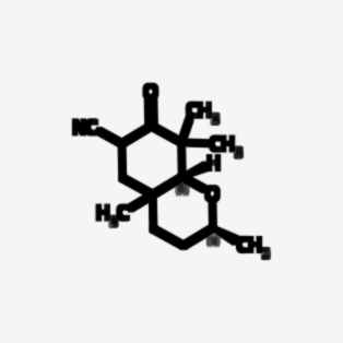 C[C@H]1CCC2(C)CC(C#N)C(=O)C(C)(C)[C@@H]2O1